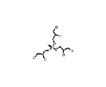 S=P(OCC(Cl)CCl)(OCC(Cl)CCl)OCC(Cl)CCl